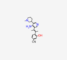 C/C(=C(/C)c1cncc(C2CCCN(C)C2)c1N)c1ccc(C#N)cc1O